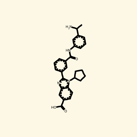 CC(N)c1cccc(NC(=O)c2cccc(-c3nc4cc(C(=O)O)ccc4n3C3CCCC3)c2)c1